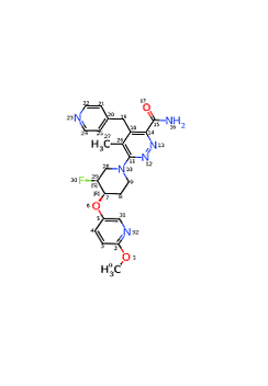 COc1ccc(O[C@@H]2CCN(c3nnc(C(N)=O)c(Cc4ccncc4)c3C)C[C@@H]2F)cn1